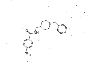 Nc1ccc(C(=O)NCC2CCN(Cc3ccccc3)CC2)cc1